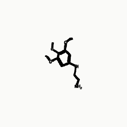 COc1cc(NCCN)cc(OC)c1OC